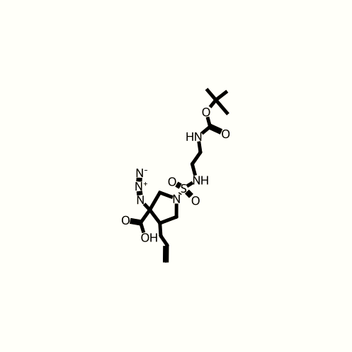 C=CCC1CN(S(=O)(=O)NCCNC(=O)OC(C)(C)C)CC1(N=[N+]=[N-])C(=O)O